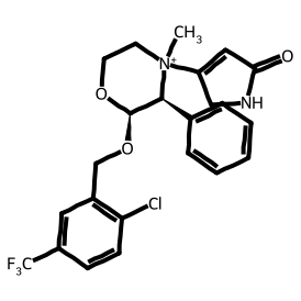 C[N+]1(C2=CC(=O)NC2)CCO[C@H](OCc2cc(C(F)(F)F)ccc2Cl)[C@@H]1c1ccccc1